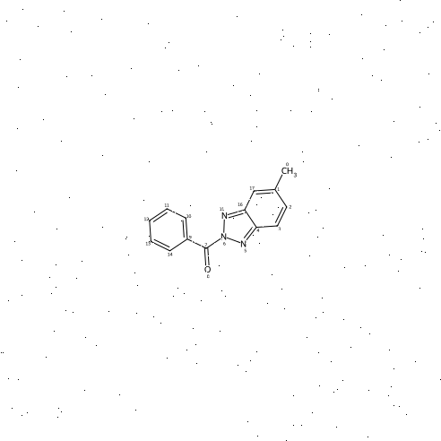 Cc1ccc2nn(C(=O)c3ccccc3)nc2c1